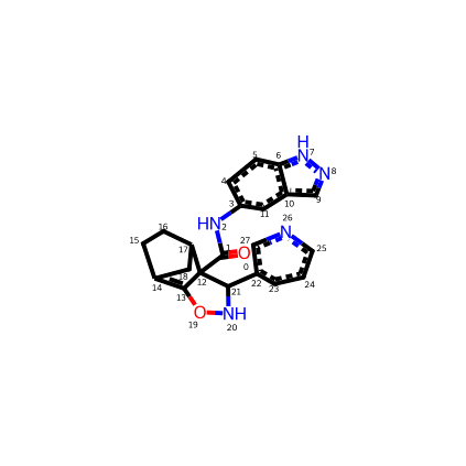 O=C(Nc1ccc2[nH]ncc2c1)C12C(=C3CCC1C3)ONC2c1cccnc1